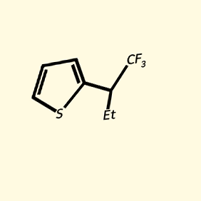 CCC(c1cccs1)C(F)(F)F